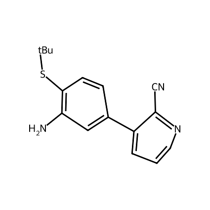 CC(C)(C)Sc1ccc(-c2cccnc2C#N)cc1N